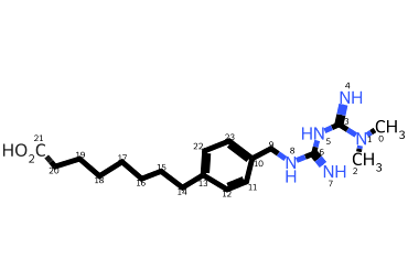 CN(C)C(=N)NC(=N)NCc1ccc(CCCCCCCC(=O)O)cc1